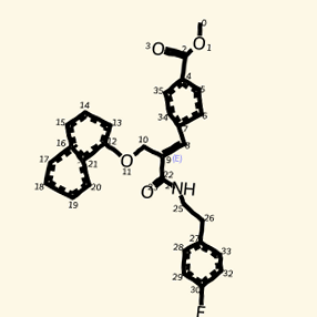 COC(=O)c1ccc(/C=C(\COc2cccc3ccccc23)C(=O)NCCc2ccc(F)cc2)cc1